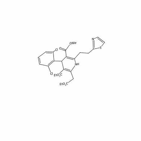 CCOC(=O)CC1=C(C(=O)OCC)C(c2c(Cl)cccc2Cl)C(C(=O)OC)=C(CCc2nccs2)N1